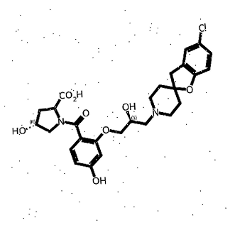 O=C(O)C1C[C@@H](O)CN1C(=O)c1ccc(O)cc1OC[C@@H](O)CN1CCC2(CC1)Cc1cc(Cl)ccc1O2